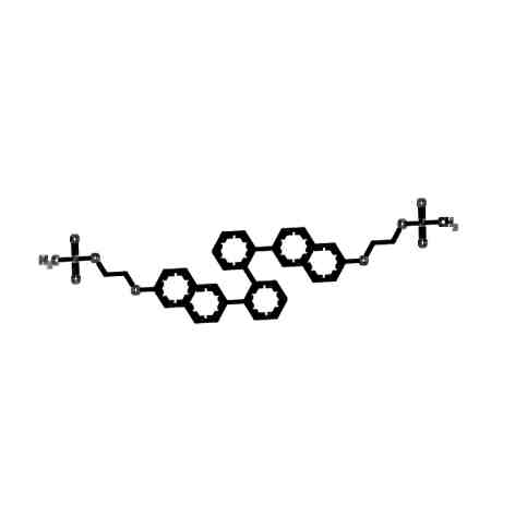 CS(=O)(=O)OCCOc1ccc2cc(-c3ccccc3-c3ccccc3-c3ccc4cc(OCCOS(C)(=O)=O)ccc4c3)ccc2c1